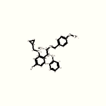 COc1ccc(CO[C@@H](C)[C@H](Oc2ccccc2)c2ccc(F)cc2OCC2CC2)cc1